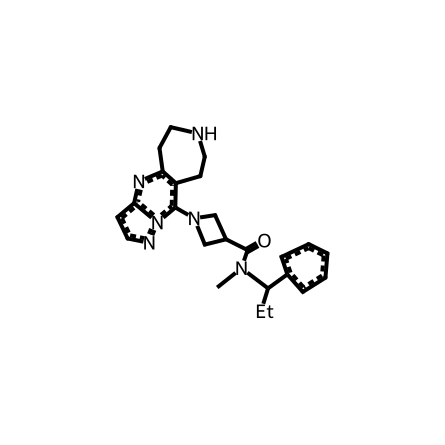 CCC(c1ccccc1)N(C)C(=O)C1CN(c2c3c(nc4ccnn24)CCNCC3)C1